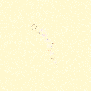 CC(=O)N1CC2(CCN(C(=O)CNC(=O)[C@@H](CC(C)C)NC(=O)CNC(=O)[C@H](N)Cc3ccccc3)CC2)C1